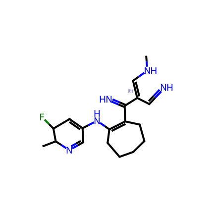 CN/C=C(\C=N)C(=N)C1=C(NC2=CC(F)C(C)N=C2)CCCCC1